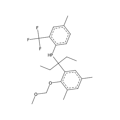 CCC(CC)(Pc1ccc(C)cc1C(F)(F)F)c1cc(C)cc(C)c1OCOC